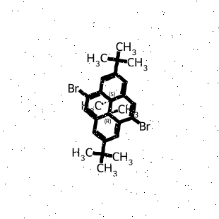 CC(C)(C)C1=CC2=CC(Br)=C3C=C(C(C)(C)C)C=C4C=C(Br)C(=C1)[C@@]2(C)[C@]43C